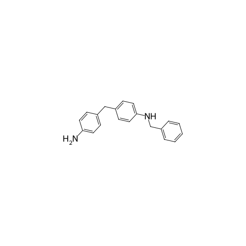 Nc1ccc(Cc2ccc(NCc3ccccc3)cc2)cc1